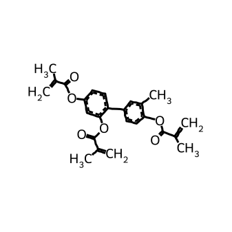 C=C(C)C(=O)Oc1ccc(-c2ccc(OC(=O)C(=C)C)c(C)c2)c(OC(=O)C(=C)C)c1